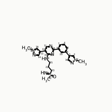 Cn1cc(-c2cccc(-c3ncc(-c4cnn(C)c4)c(NCCCS(C)(=N)=O)n3)c2)cn1